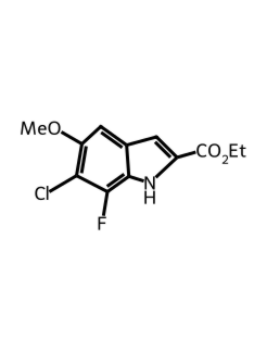 CCOC(=O)c1cc2cc(OC)c(Cl)c(F)c2[nH]1